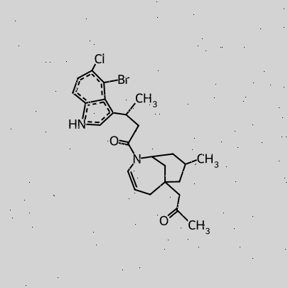 CC(=O)CC12CC=CN(C(=O)CC(C)c3c[nH]c4ccc(Cl)c(Br)c34)C(CC(C)C1)C2